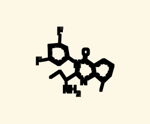 CCC(N)c1nc2c(C)cccc2c(=O)n1-c1cc(F)cc(F)c1